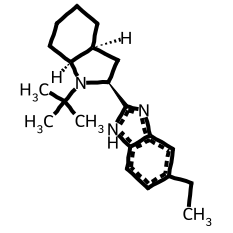 CCc1ccc2[nH]c([C@@H]3C[C@@H]4CCCC[C@@H]4N3C(C)(C)C)nc2c1